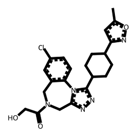 Cc1cc(C2CCC(c3nnc4n3-c3ccc(Cl)cc3CN(C(=O)CO)C4)CC2)no1